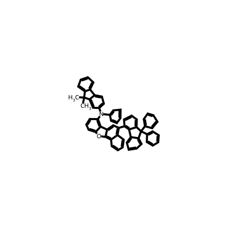 CC1(C)c2ccccc2-c2ccc(N(c3ccccc3)c3cccc4oc5c6ccccc6c(-c6cccc7c6-c6ccccc6C7(c6ccccc6)c6ccccc6)cc5c34)cc21